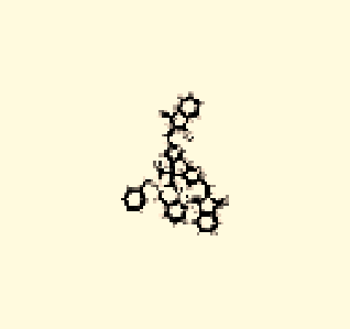 O=C(OCc1ccccc1)C1(C(=O)OCc2ccccc2)c2cc(C=C3C(=S)c4ccccc4C3=S)sc2-c2sc(C=C3C(=S)c4ccccc4C3=S)cc21